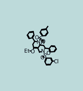 CCOC1=C2CN(S(=O)(=O)c3cccc(Cl)c3)C(c3ccccc3)C[C@@H]2N(S(=O)(=O)c2ccc(C)cc2)C(c2ccccc2)C1